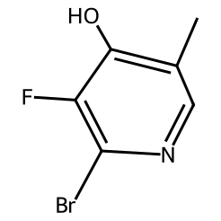 Cc1cnc(Br)c(F)c1O